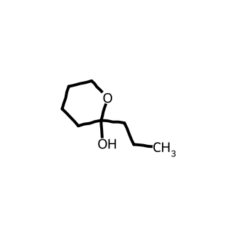 CCCC1(O)CCCCO1